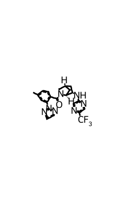 Cc1ccc(C(=O)N2C[C@@H]3C[C@@H](Nc4cnc(C(F)(F)F)cn4)[C@@H]2C3)c(-n2nccn2)c1